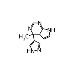 CC1(c2cn[nH]c2)N=CN=C2NC=CC21